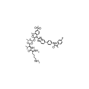 CCSC(OC(=O)[C@@H](NC(=O)[C@@H](N)CCCCN)C(C)C)OC(=O)N(c1nc2ccc(-c3ccc(NC(=O)[C@H](C)c4ccc(F)cc4)cc3)cn2n1)c1ccc(S(C)(=O)=O)cc1OC